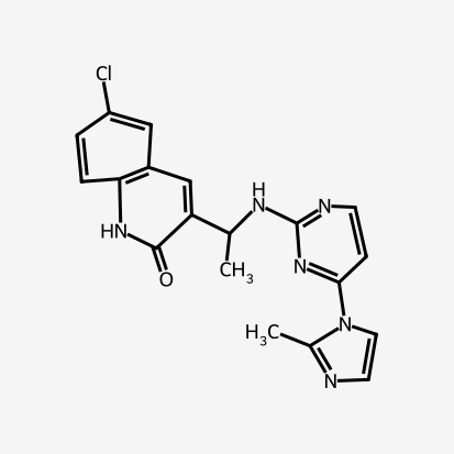 Cc1nccn1-c1ccnc(NC(C)c2cc3cc(Cl)ccc3[nH]c2=O)n1